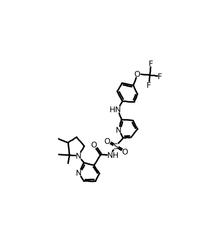 CC1CCN(c2ncccc2C(=O)NS(=O)(=O)c2cccc(Nc3ccc(OC(F)(F)F)cc3)n2)C1(C)C